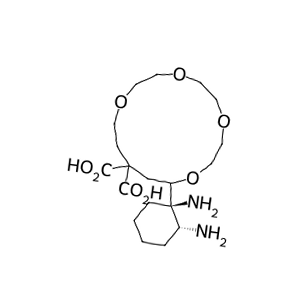 N[C@@H]1CCCC[C@]1(N)C1CC(C(=O)O)(C(=O)O)CCOCCOCCOCCO1